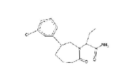 CCC(C(N)=O)N1CC(c2cccc(Cl)c2)CCCC1=O